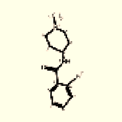 CN1CCC(NC(=O)c2ccccc2Br)CC1